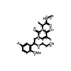 COc1ccc(F)cc1C(Cn1cc(C)c(=O)n(C(C)C(=O)NC(C)C)c1=O)OCCC#N